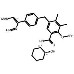 CN/C=C(\N=N)c1ccc(Cc2cc(C(=O)N[C@H]3CCCC[C@@H]3O)c(OC(C)C)c(C)c2C)cc1